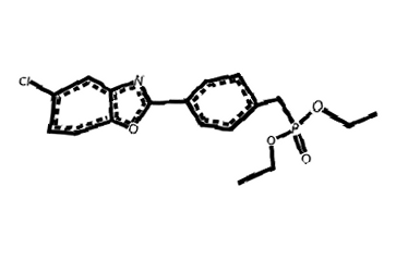 CCOP(=O)(Cc1ccc(-c2nc3cc(Cl)ccc3o2)cc1)OCC